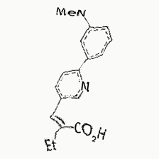 CC/C(=C/c1ccc(-c2cccc(NC)c2)nc1)C(=O)O